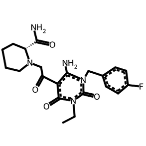 CCn1c(=O)c(C(=O)CN2CCCC[C@@H]2C(N)=O)c(N)n(Cc2ccc(F)cc2)c1=O